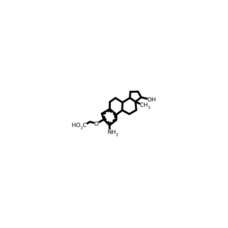 CC12CCC3c4cc(N)c(OCC(=O)O)cc4CCC3C1CCC2O